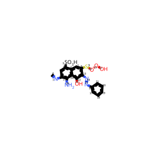 C=Nc1cc(S(=O)(=O)O)c2cc(SOOO)c(N=Nc3ccccc3)c(O)c2c1N